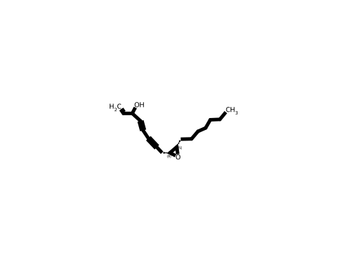 C=CC(O)C#CC#CC[C@H]1O[C@H]1CCCCCCC